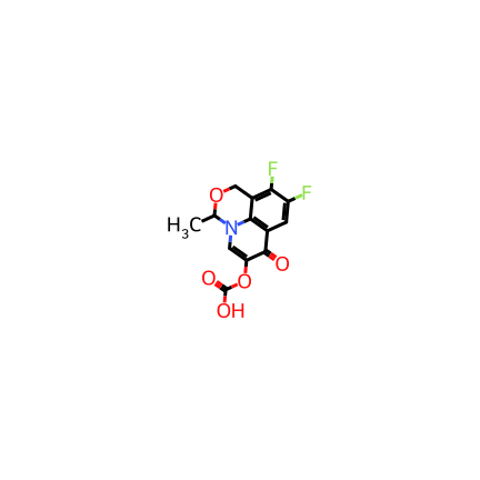 CC1OCc2c(F)c(F)cc3c(=O)c(OC(=O)O)cn1c23